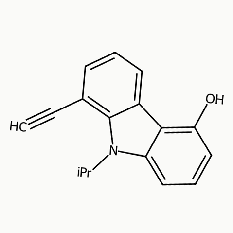 C#Cc1cccc2c3c(O)cccc3n(C(C)C)c12